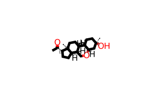 CC(=O)[C@H]1CC[C@H]2[C@@H]3CO[C@H]4C[C@](C)(O)CC[C@@H]4[C@H]3CC[C@]12C